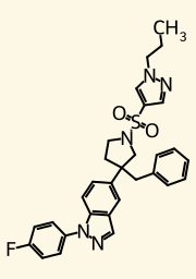 CCCn1cc(S(=O)(=O)N2CCC(Cc3ccccc3)(c3ccc4c(cnn4-c4ccc(F)cc4)c3)C2)cn1